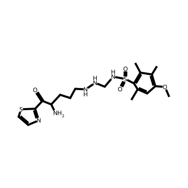 COc1cc(C)c(S(=O)(=O)NCNNCCCC(N)C(=O)c2nccs2)c(C)c1C